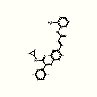 Nc1ccccc1NC(=O)C=Cc1ccc(C=C(C(=O)NC2CC2)c2ccccc2)cc1